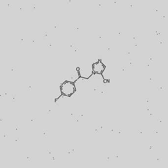 N#Cc1cncn1CC(=O)c1ccc(F)cc1